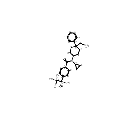 C[C@](O)(c1ccc(C(=O)N(C2CC2)C2CCC(CN)(c3ccccc3)CC2)cc1)C(F)(F)F